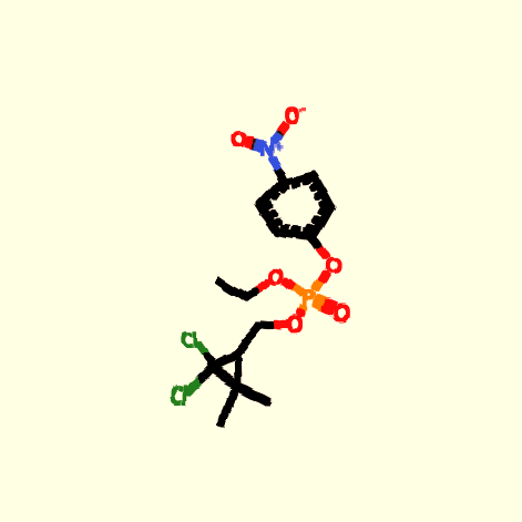 CCOP(=O)(OCC1C(C)(C)C1(Cl)Cl)Oc1ccc([N+](=O)[O-])cc1